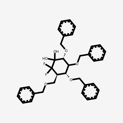 OC1(O)[C@H](OCc2ccccc2)C(OCc2ccccc2)[C@H](OCc2ccccc2)[C@@H](COCc2ccccc2)C1(F)F